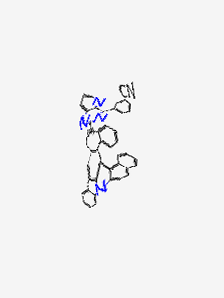 N#Cc1cccc(-c2nc([C@@H]3CCc4cc5c6ccccc6n6c7ccc8ccccc8c7c(c4-c4ccccc43)c56)nc3cccnc23)c1